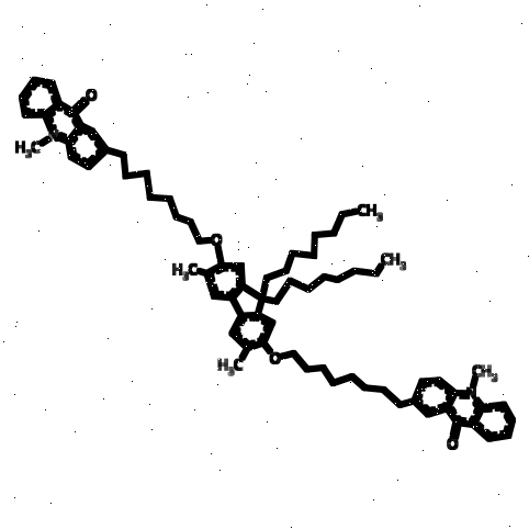 CCCCCCCCC1(CCCCCCCC)c2cc(OCCCCCCCCc3ccc4c(c3)c(=O)c3ccccc3n4C)c(C)cc2-c2cc(C)c(OCCCCCCCCc3ccc4c(c3)c(=O)c3ccccc3n4C)cc21